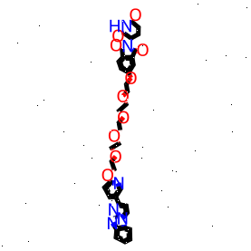 O=C1CCC(N2C(=O)c3ccc(OCCOCCOCCOCCOCCOc4ccc(-c5ccn6c(n5)nc5ccccc56)cn4)cc3C2=O)C(=O)N1